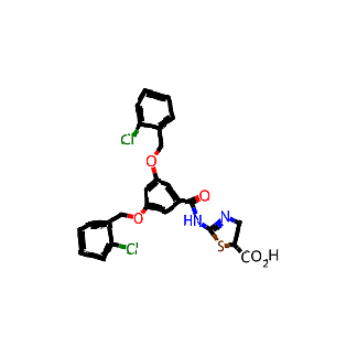 O=C(NC1=NCC(C(=O)O)S1)c1cc(OCc2ccccc2Cl)cc(OCc2ccccc2Cl)c1